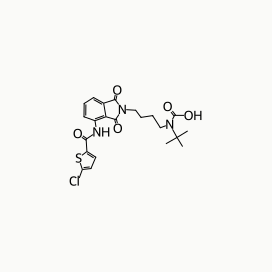 CC(C)(C)N(CCCCN1C(=O)c2cccc(NC(=O)c3ccc(Cl)s3)c2C1=O)C(=O)O